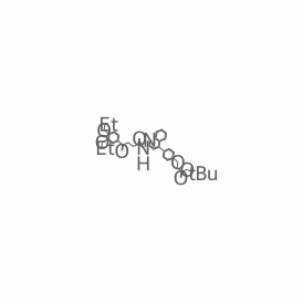 CCOc1ccc(C(=O)CCC(=O)Nc2cc(-c3ccc(OCC(=O)OC(C)(C)C)cc3)c3ccccc3n2)cc1OCC